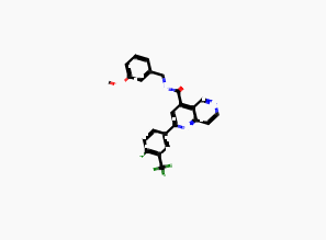 COc1cccc(CNC(=O)c2cc(-c3ccc(F)c(C(F)(F)F)c3)nc3ccncc23)c1